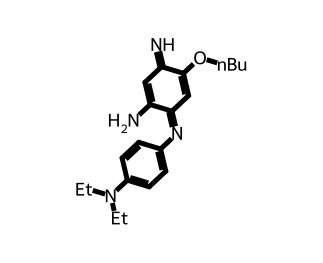 CCCCOC1=C/C(=N/c2ccc(N(CC)CC)cc2)C(N)=CC1=N